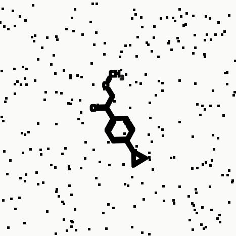 COCC(=O)c1ccc(C2CC2)cc1